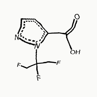 O=C(O)c1ccnn1C(F)(F)F